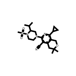 CC(C)C1CN(c2nc(C3CC3)c3c(c2C#N)CC(C)(C)OC3)CCN1S(C)(=O)=O